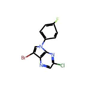 Fc1ccc(-n2cc(Br)c3ncc(Cl)nc32)cc1